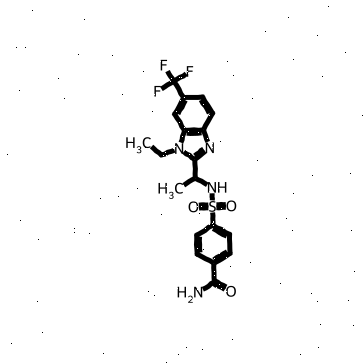 CCn1c(C(C)NS(=O)(=O)c2ccc(C(N)=O)cc2)nc2ccc(C(F)(F)F)cc21